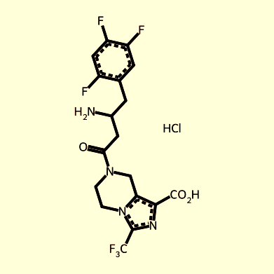 Cl.NC(CC(=O)N1CCn2c(C(F)(F)F)nc(C(=O)O)c2C1)Cc1cc(F)c(F)cc1F